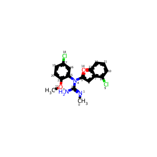 CN=C(N)N(c1cc2c(Cl)cccc2o1)c1cc(Cl)ccc1OC